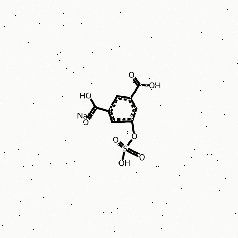 O=C(O)c1cc(OS(=O)(=O)O)cc(C(=O)O)c1.[NaH]